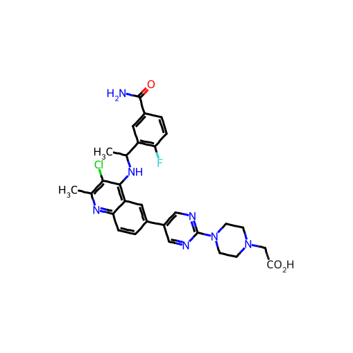 Cc1nc2ccc(-c3cnc(N4CCN(CC(=O)O)CC4)nc3)cc2c(NC(C)c2cc(C(N)=O)ccc2F)c1Cl